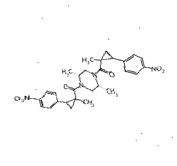 C[C@@H]1CN(C(=O)C2(C)CC2c2ccc([N+](=O)[O-])cc2)[C@H](C)CN1C(=O)C1(C)CC1c1ccc([N+](=O)[O-])cc1